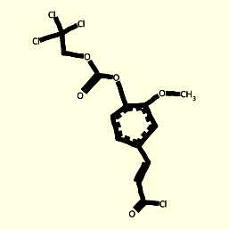 COc1cc(C=CC(=O)Cl)ccc1OC(=O)OCC(Cl)(Cl)Cl